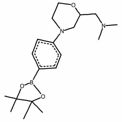 CN(C)CC1CN(c2ccc(B3OC(C)(C)C(C)(C)O3)cc2)CCO1